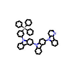 c1ccc([Si](c2ccccc2)(c2ccccc2)c2cccc(-n3c4ccccc4c4cc(-n5c6ccccc6c6cc(-n7c8ccccc8c8ncccc87)ccc65)ccc43)c2)cc1